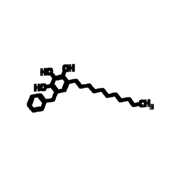 CCCCCCCCCCCc1cc(Cc2ccccc2)c(O)c(O)c1O